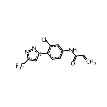 C=CC(=O)Nc1ccc(-n2cc(C(F)(F)F)nn2)c(Cl)c1